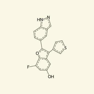 Oc1cc(F)c2oc(-c3ccc4[nH]ncc4c3)c(-c3ccsc3)c2c1